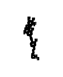 CCCCCc1ccc(C#Cc2cc(F)c(C(F)(F)Oc3cc(F)c(F)c(F)c3)c(F)c2)c(F)c1